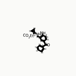 CCOC(=O)C1(NCc2cc(C(=O)c3ccccc3)ccc2N)CC1